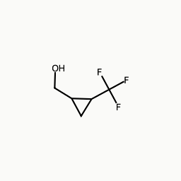 OCC1CC1C(F)(F)F